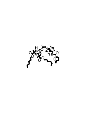 C=C1CC[C@H](C(=O)Nc2ncnc3c2ncn3C[C@@H](C)OCP(=O)(NC(C)(C)C(=O)OCCCCCC)NC(C)(C)C(=O)OCCCCCC)O1